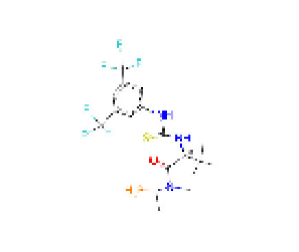 CC(P)N(C)C(=O)[C@@H](NC(=S)Nc1cc(C(F)(F)F)cc(C(F)(F)F)c1)C(C)(C)C